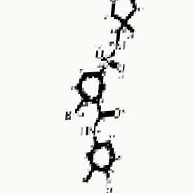 Cc1cc(NC(=O)c2cc(S(=O)(=O)NCC3(C)CCOC3)ccc2Br)ccc1F